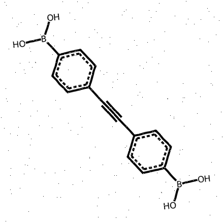 OB(O)c1ccc(C#Cc2ccc(B(O)O)cc2)cc1